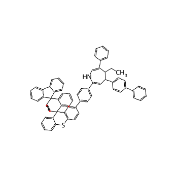 CCC1C(c2ccccc2)=CNC(c2ccc(-c3ccc4c(c3)C3(c5ccccc5S4)c4ccccc4C4(c5ccccc5-c5ccccc54)c4ccccc43)cc2)=CC1c1ccc(-c2ccccc2)cc1